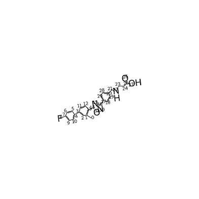 Cc1cc(-c2ccc(F)cc2)ccc1-c1nc(-c2ccc(CNCCC(=O)O)cc2)no1